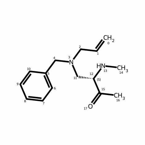 C=CCN(Cc1ccccc1)C[C@H](NC)C(C)=O